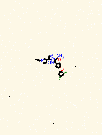 CC#CN1CCC(c2cnn3c(C(N)=O)c(-c4ccc(Oc5ccc(F)cc5F)cc4)[nH]c23)C1